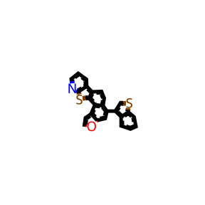 c1ccc2c(-c3cc4occc4c4c3ccc3c5cccnc5sc34)csc2c1